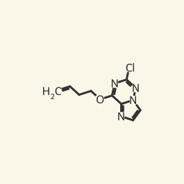 C=CCCOc1nc(Cl)nn2ccnc12